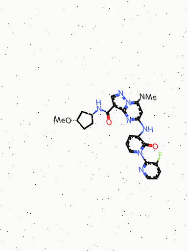 CNc1cc(Nc2cccn(-c3ncccc3F)c2=O)nc2c(C(=O)N[C@H]3CC[C@H](OC)C3)cnn12